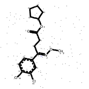 CO/N=C(\CCC(=O)OC1CCCC1)c1ccc(Cl)c(Cl)c1